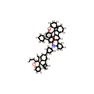 C=CC1=C(/C=C\C)Oc2ccccc2C12c1ccccc1-c1cc(-c3ccc(N(c4cccc(-c5ccccc5)c4)c4ccccc4-c4ccc5c(c4)-c4ccccc4C54c5ccccc5Oc5ccccc54)cc3)ccc12